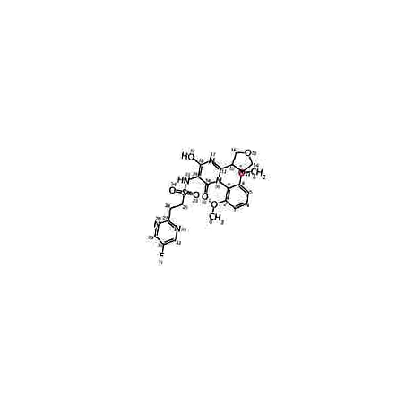 COc1cccc(OC)c1-n1c(C2CCOC2)nc(O)c(NS(=O)(=O)CCc2ncc(F)cn2)c1=O